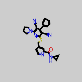 N#Cc1c(SCc2ccnc(C(=O)NC3CC3)c2)nc(N2CCCC2)c(C#N)c1-c1ccccc1